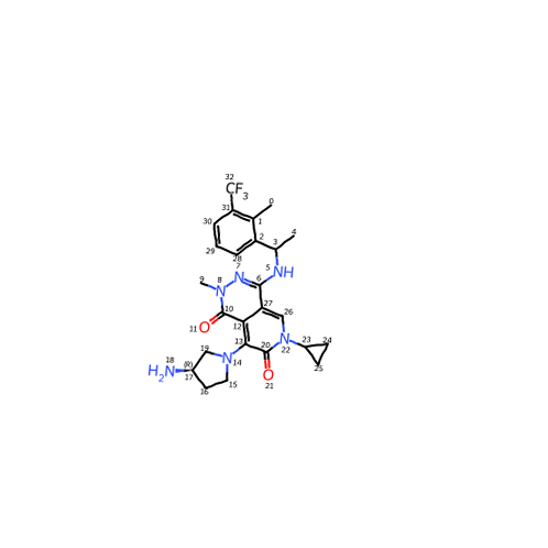 Cc1c(C(C)Nc2nn(C)c(=O)c3c(N4CC[C@@H](N)C4)c(=O)n(C4CC4)cc23)cccc1C(F)(F)F